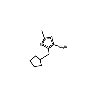 CCOC(=O)c1sc(C)nc1CC1CCCC1